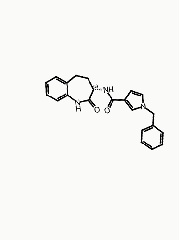 O=C(N[C@H]1CCc2ccccc2NC1=O)c1ccn(Cc2ccccc2)c1